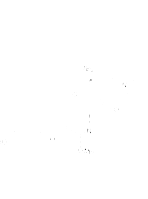 COCCCOc1cc2c(nc1OC)C(=O)C(=CN(C)C)[C@@H](C(C)(C)C)O2